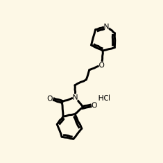 Cl.O=C1c2ccccc2C(=O)N1CCCOc1ccncc1